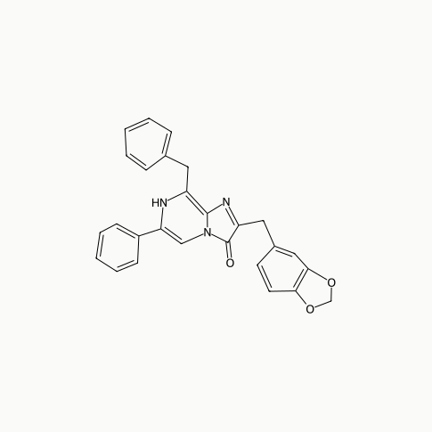 O=c1c(Cc2ccc3c(c2)OCO3)nc2c(Cc3ccccc3)[nH]c(-c3ccccc3)cn1-2